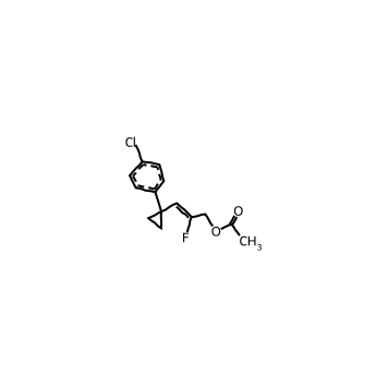 CC(=O)OCC(F)=CC1(c2ccc(Cl)cc2)CC1